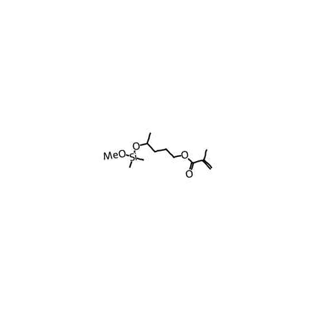 C=C(C)C(=O)OCCCC(C)O[Si](C)(C)OC